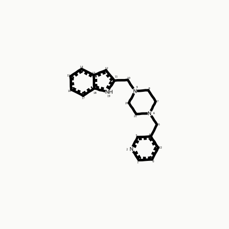 c1cncc(CN2CCN(Cc3cc4ccccc4[nH]3)CC2)c1